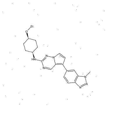 CCO[C@H]1CC[C@@H](Nc2ncc3c(-c4ccc5nnn(C)c5c4)ccn3n2)CC1